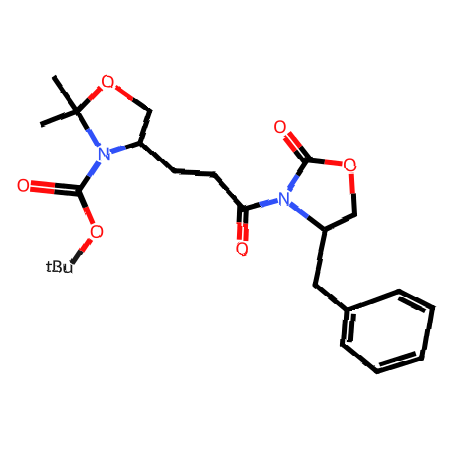 CC(C)(C)OC(=O)N1C(CCC(=O)N2C(=O)OCC2Cc2ccccc2)COC1(C)C